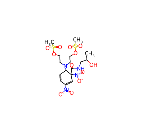 CC(O)CNC(=O)C1([N+](=O)[O-])C=C([N+](=O)[O-])C=CC1N(CCOS(C)(=O)=O)CCOS(C)(=O)=O